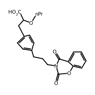 CCCOC(Cc1ccc(CCCn2c(=O)oc3ccccc3c2=O)cc1)C(=O)O